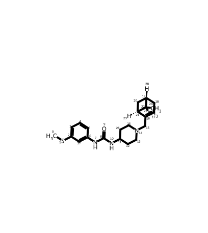 CSc1cccc(NC(=O)NC2CCN(CC3=CC[C@H]4C[C@H]3C4(C)C)CC2)c1